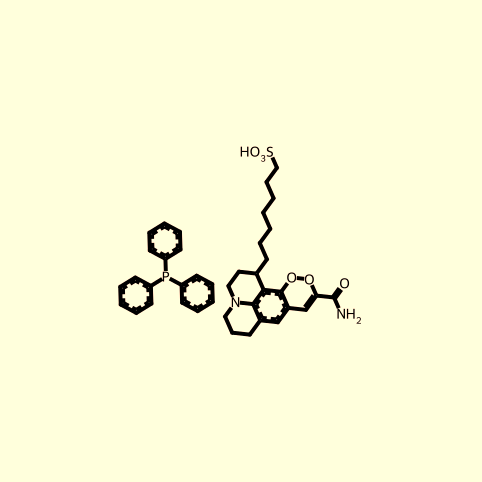 NC(=O)C1=Cc2cc3c4c(c2OO1)C(CCCCCCCS(=O)(=O)O)CCN4CCC3.c1ccc(P(c2ccccc2)c2ccccc2)cc1